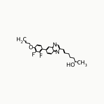 C=CCOc1ccc(-c2ccc3nc(C=CCCCC(C)O)cnc3c2)c(F)c1F